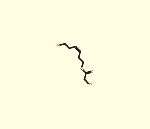 [2H]CC/C=C\CCOC(=O)CC(C)C